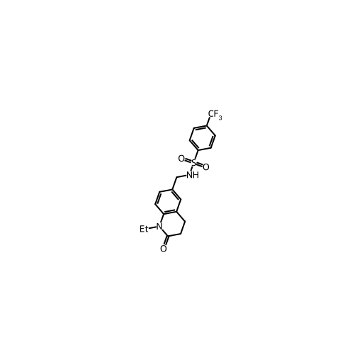 CCN1C(=O)CCc2cc(CNS(=O)(=O)c3ccc(C(F)(F)F)cc3)ccc21